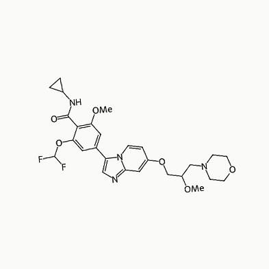 COc1cc(-c2cnc3cc(OCC(CN4CCOCC4)OC)ccn23)cc(OC(F)F)c1C(=O)NC1CC1